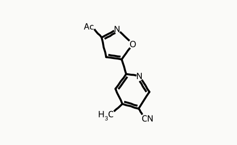 CC(=O)c1cc(-c2cc(C)c(C#N)cn2)on1